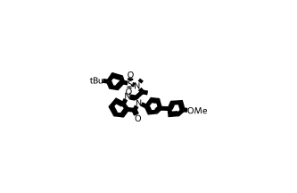 COc1ccc(-c2ccc(-n3c(C(C)N(C)S(=O)(=O)c4ccc(C(C)(C)C)cc4)nc4ccccc4c3=O)cc2)cc1